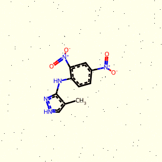 Cc1c[nH]nc1Nc1ccc([N+](=O)[O-])cc1[N+](=O)[O-]